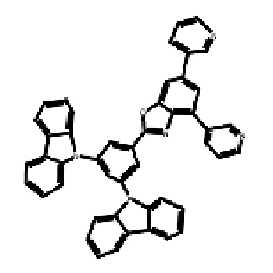 c1cncc(-c2cc(-c3cccnc3)c3nc(-c4cc(-n5c6ccccc6c6ccccc65)cc(-n5c6ccccc6c6ccccc65)c4)oc3c2)c1